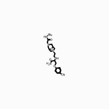 CC(C)(C)NC(=O)CN1CC2CN(CCNC(COc3ccc(C#N)cc3)C(N)=O)CC(C1)O2